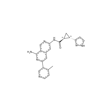 Cc1ccncc1-c1cc2cc(NC(=O)[C@H]3C[C@@H]3c3cc[nH]n3)ncc2c(N)n1